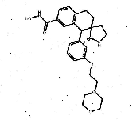 O=C(NO)c1ccc2c(c1)C(c1cccc(OCCN3CCOCC3)c1)C1(CCNC1=O)CC2